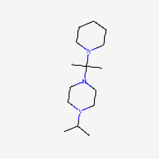 CC(C)N1CCN(C(C)(C)N2CCCCC2)CC1